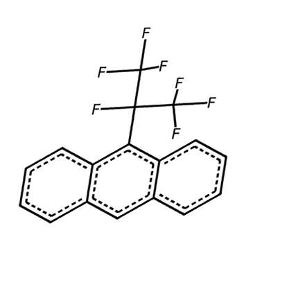 FC(F)(F)C(F)(c1c2ccccc2cc2ccccc12)C(F)(F)F